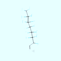 CCC(F)C(F)(F)C(F)(F)C(F)(F)C(F)(F)C(F)(F)[C](F)F